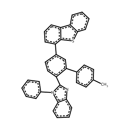 Cc1ccc(-c2cc(-c3cccc4c3sc3ccccc34)ccc2-c2nc3ccccc3n2-c2ccccc2)cc1